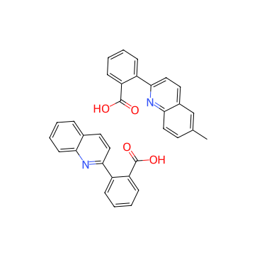 Cc1ccc2nc(-c3ccccc3C(=O)O)ccc2c1.O=C(O)c1ccccc1-c1ccc2ccccc2n1